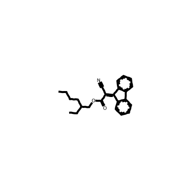 CCCCC(CC)COC(=O)C(C#N)=C1c2ccccc2-c2ccccc21